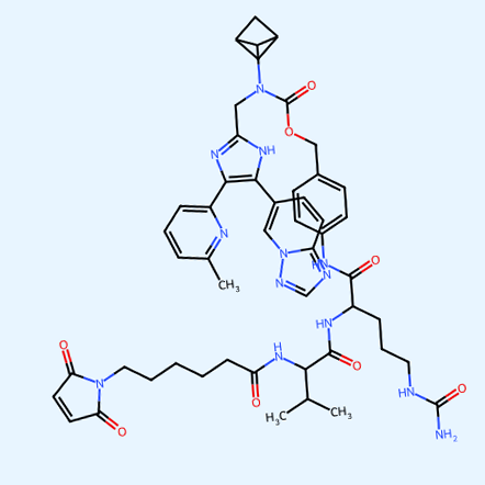 Cc1cccc(-c2nc(CN(C(=O)OCc3ccc(NC(=O)C(CCCNC(N)=O)NC(=O)C(NC(=O)CCCCCN4C(=O)C=CC4=O)C(C)C)cc3)C3C4CC3C4)[nH]c2-c2ccc3ncnn3c2)n1